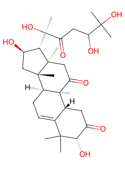 CC(C)(O)C(O)CC(=O)[C@](C)(O)[C@H]1[C@H](O)C[C@@]2(C)[C@@H]3CC=C4[C@@H](CC(=O)[C@H](O)C4(C)C)[C@]3(C)C(=O)C[C@]12C